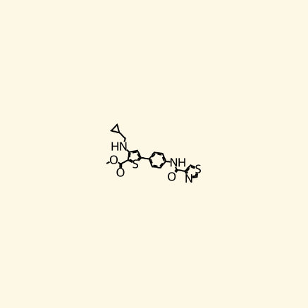 COC(=O)c1sc(-c2ccc(NC(=O)c3cscn3)cc2)cc1NCC1CC1